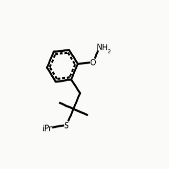 CC(C)SC(C)(C)Cc1ccccc1ON